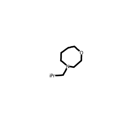 CC(C)CN1CCCCOCC1